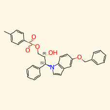 Cc1ccc(S(=O)(=O)OC[C@H](O)[C@H](c2ccccc2)n2ccc3cc(OCc4ccccc4)ccc32)cc1